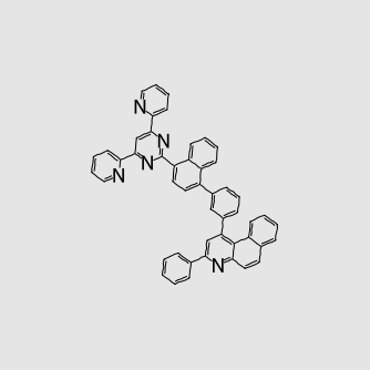 c1ccc(-c2cc(-c3cccc(-c4ccc(-c5nc(-c6ccccn6)cc(-c6ccccn6)n5)c5ccccc45)c3)c3c(ccc4ccccc43)n2)cc1